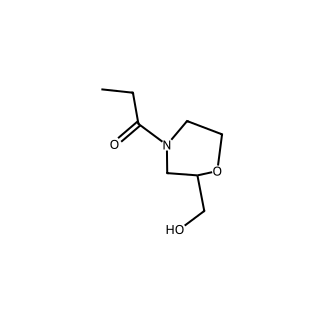 CCC(=O)N1CCOC(CO)C1